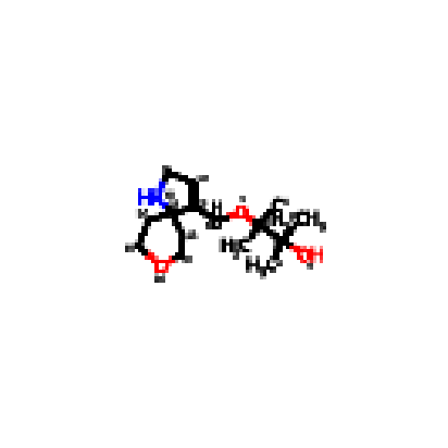 CC(C)(O)C(C)(C)OBC1=CCNC12CCOCC2